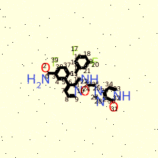 NC(=O)c1cc(-c2cccnc2[C@H](Cc2cc(F)cc(F)c2)NC(=O)Cn2cnc3c(=O)[nH]ccc32)ccc1F